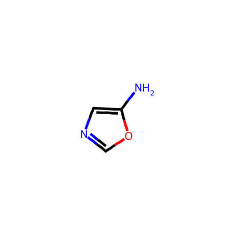 Nc1cnco1